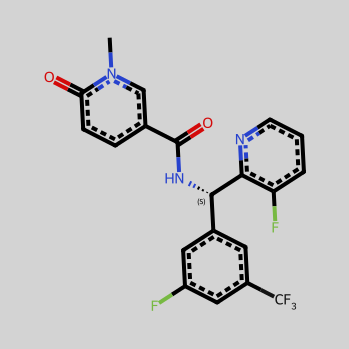 Cn1cc(C(=O)N[C@@H](c2cc(F)cc(C(F)(F)F)c2)c2ncccc2F)ccc1=O